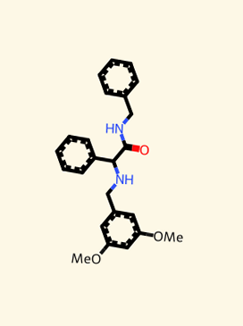 COc1cc(CNC(C(=O)NCc2ccccc2)c2ccccc2)cc(OC)c1